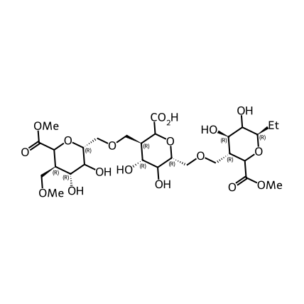 CC[C@H]1OC(C(=O)OC)[C@H](COC[C@H]2OC(C(=O)O)[C@H](COC[C@H]3OC(C(=O)OC)[C@H](COC)[C@@H](O)C3O)[C@@H](O)C2O)[C@@H](O)C1O